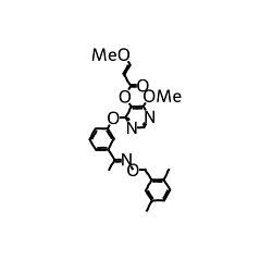 COC=CC(=O)Oc1c(OC)ncnc1Oc1cccc(C(C)=NOCc2cc(C)ccc2C)c1